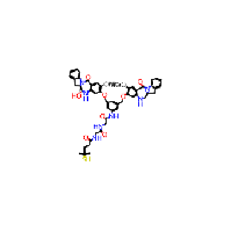 COc1cc2c(cc1OCc1cc(COc3cc4c(cc3OC)C(=O)N3c5ccccc5CC3[C@@H](O)N4)cc(NC(=O)CNC(=O)CNC(=O)CCC(C)(C)S)c1)NCC1Cc3ccccc3N1C2=O